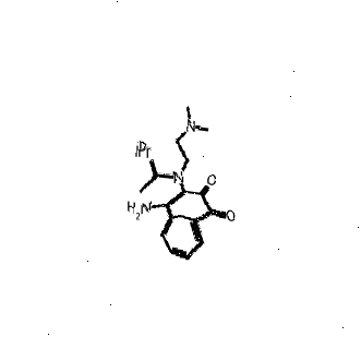 CC(C)C(C)N(CCN(C)C)C1=C(N)c2ccccc2C(=O)C1=O